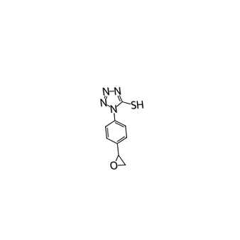 Sc1nnnn1-c1ccc(C2CO2)cc1